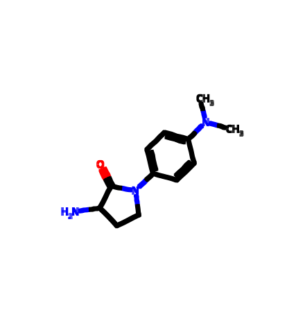 CN(C)c1ccc(N2CCC(N)C2=O)cc1